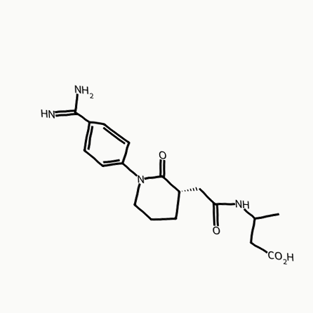 CC(CC(=O)O)NC(=O)C[C@@H]1CCCN(c2ccc(C(=N)N)cc2)C1=O